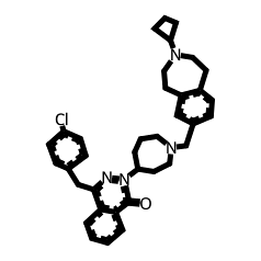 O=c1c2ccccc2c(Cc2ccc(Cl)cc2)nn1C1CCCN(Cc2ccc3c(c2)CCN(C2CCC2)CC3)CC1